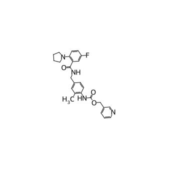 Cc1cc(CNC(=O)c2cc(F)ccc2N2CCCC2)ccc1NC(=O)OCc1cccnc1